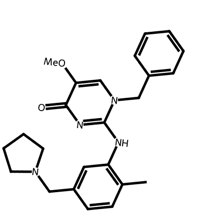 COc1cn(Cc2ccccc2)c(Nc2cc(CN3CCCC3)ccc2C)nc1=O